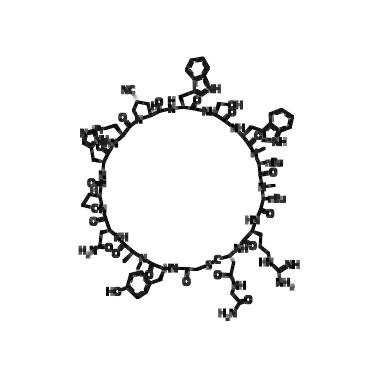 CCCC[C@H]1C(=O)N(C)[C@@H](CCCC)C(=O)N[C@@H](CCCNC(=N)N)C(=O)N[C@H](CC(=O)NCC(N)=O)CSCC(=O)N[C@@H](Cc2ccc(O)cc2)C(=O)N(C)[C@@H](C)C(=O)N[C@@H](CC(N)=O)C(=O)N2CCC[C@H]2C(=O)N[C@@H](Cc2cnc[nH]2)C(=O)N[C@@H](CC(C)C)C(=O)N2C[C@H](C#N)C[C@H]2C(=O)N[C@@H](Cc2c[nH]c3ccccc23)C(=O)N[C@@H](CO)C(=O)N[C@@H](Cc2c[nH]c3ccccc23)C(=O)N1C